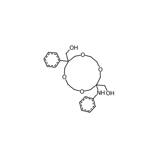 OCC1(Nc2ccccc2)COCCOCC(CO)(c2ccccc2)COCCOC1